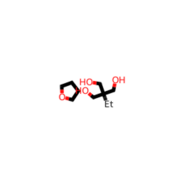 C1CCOC1.CCC(CO)(CO)CO